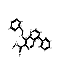 COC(=O)c1ncc2c(-c3ccccc3)ccnc2c1OCc1ccccc1